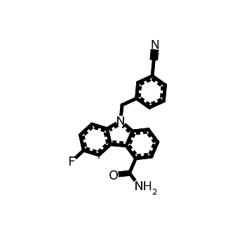 N#Cc1cccc(Cn2c3ccc(F)[c]c3c3c(C(N)=O)cccc32)c1